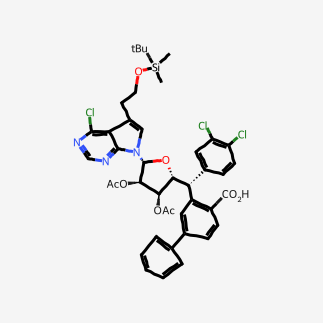 CC(=O)O[C@@H]1[C@@H]([C@H](c2ccc(Cl)c(Cl)c2)c2cc(-c3ccccc3)ccc2C(=O)O)O[C@@H](n2cc(CCO[Si](C)(C)C(C)(C)C)c3c(Cl)ncnc32)[C@@H]1OC(C)=O